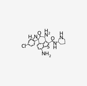 Nc1ccc2c3c(c(C(=O)NC4CCCNC4)sc13)C(N)C(=O)C2(N)c1ccc(Cl)cc1